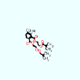 C=C(C)COOCCOC(=O)c1ccc(C(=O)O)cc1C(=O)OCCOC(=O)C(=C)C